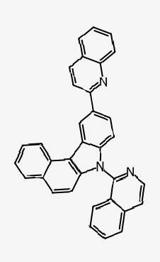 c1ccc2nc(-c3ccc4c(c3)c3c5ccccc5ccc3n4-c3nccc4ccccc34)ccc2c1